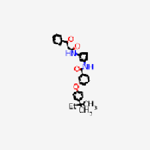 CCC(C)(C)c1ccc(Oc2cccc(C(=O)Nc3cccc(NC(=O)CC(=O)c4ccccc4)c3)c2)cc1